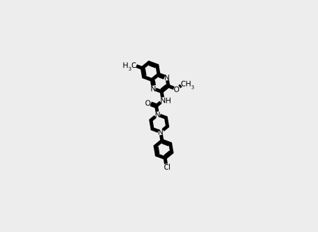 COc1nc2ccc(C)cc2nc1NC(=O)N1CCN(c2ccc(Cl)cc2)CC1